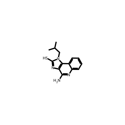 CC(C)Cn1c(S)nc2c(N)nc3ccccc3c21